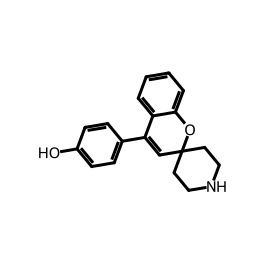 Oc1ccc(C2=CC3(CCNCC3)Oc3ccccc32)cc1